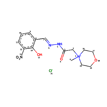 C[N+]1(CC(=O)NN=Cc2cccc([N+](=O)[O-])c2O)CCOCC1.[Cl-]